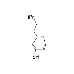 CC(C)CCc1cccc(S)c1